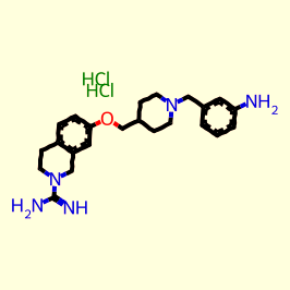 Cl.Cl.N=C(N)N1CCc2ccc(OCC3CCN(Cc4cccc(N)c4)CC3)cc2C1